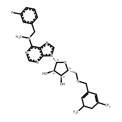 CN(Cc1cccc(F)c1)c1ncnc2c1ncn2[C@@H]1O[C@H](COCC2=CC(C(F)(F)F)CC(C(F)(F)F)=C2)[C@@H](O)[C@H]1O